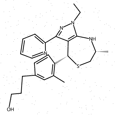 CCn1nc(-c2ccccn2)c2c1N[C@H](C)CS[C@@H]2c1ccc(CCCO)cc1C